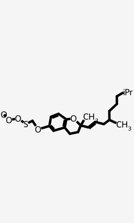 CC(C)CCCC(C)C/C=C/C1(C)CCc2cc(OCSOOO)ccc2O1